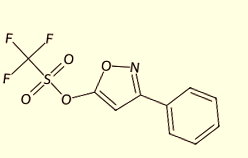 O=S(=O)(Oc1cc(-c2ccccc2)no1)C(F)(F)F